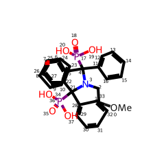 COCCN(C(c1ccccc1)(c1ccccc1)P(=O)(O)O)C(c1ccccc1)(c1ccccc1)P(=O)(O)O